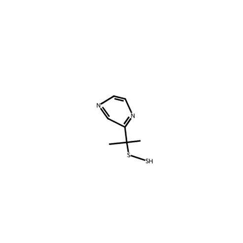 CC(C)(SS)c1cnccn1